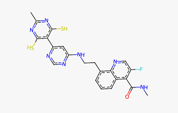 CNC(=O)c1c(F)cnc2c(CCNc3cc(-c4c(S)nc(C)nc4S)ncn3)cccc12